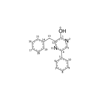 Oc1ncc(-c2ccccc2)nc1Cc1ccccc1